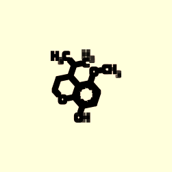 COc1ccc(O)c2c1C(C(C)C)CCO2